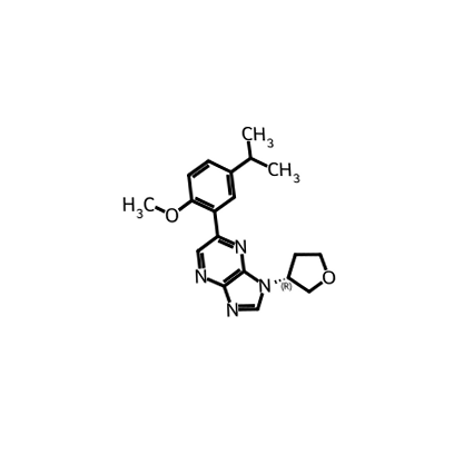 COc1ccc(C(C)C)cc1-c1cnc2ncn([C@@H]3CCOC3)c2n1